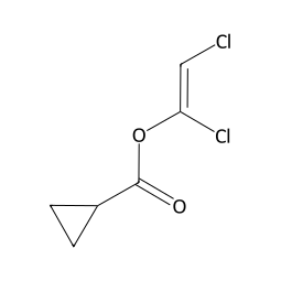 O=C(OC(Cl)=CCl)C1CC1